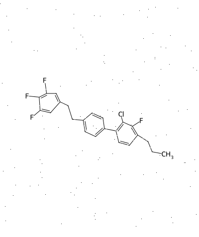 CCCc1ccc(-c2ccc(CCc3cc(F)c(F)c(F)c3)cc2)c(Cl)c1F